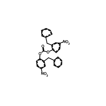 O=C(Oc1ccc([N+](=O)[O-])cc1Cc1ccccc1)Oc1ccc([N+](=O)[O-])cc1Cc1ccccc1